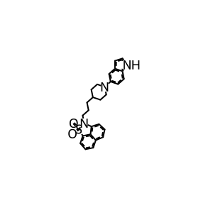 O=S1(=O)c2cccc3cccc(c23)N1CCCC1CCN(c2ccc3[nH]ccc3c2)CC1